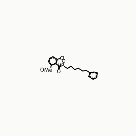 COc1cccc(Cl)c1C(=O)[PH](=O)CCCCCCc1ccccc1